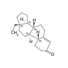 CC[C@@]12CCC[C@H]1[C@@H]1CCC3=CC(=O)CC[C@@H]3[C@H]1CC2